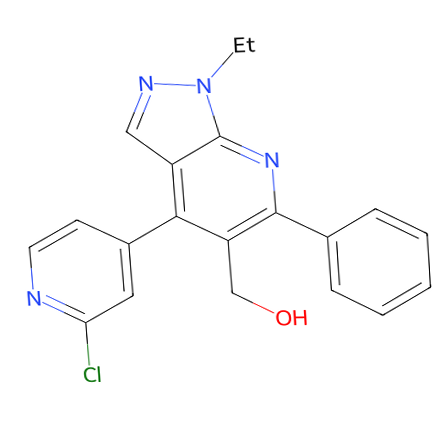 CCn1ncc2c(-c3ccnc(Cl)c3)c(CO)c(-c3ccccc3)nc21